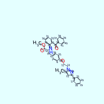 COC(=O)[C@H](Cc1ccc(OCCn2nc(-c3ccccc3)cc2C)cc1)Nc1ccccc1C(=O)c1ccccc1